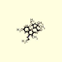 C=C/C=c1\c(=C)c2nc(=O)c3c(n2c2ccc(C)cc12)C(C)(C)CC3(C)C